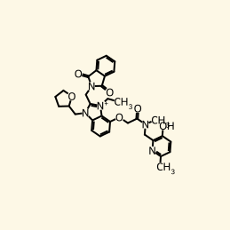 CC[n+]1c(CN2C(=O)c3ccccc3C2=O)n(CC2CCCO2)c2cccc(OCC(=O)N(C)Cc3nc(C)ccc3O)c21